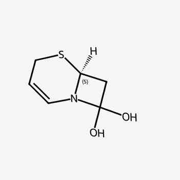 OC1(O)C[C@@H]2SCC=CN21